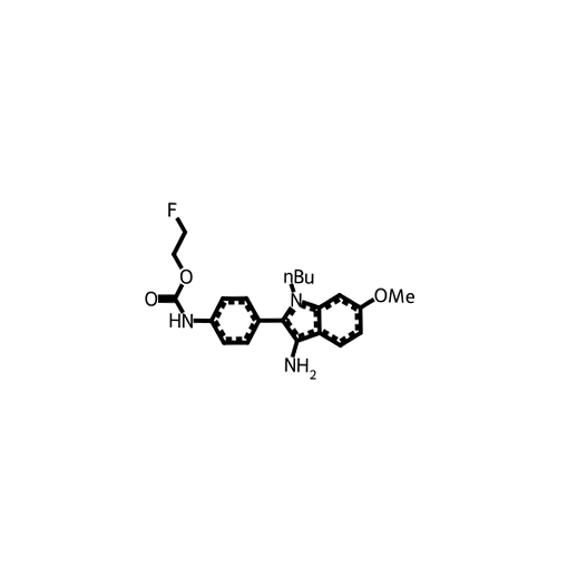 CCCCn1c(-c2ccc(NC(=O)OCCF)cc2)c(N)c2ccc(OC)cc21